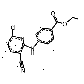 CCOC(=O)c1ccc(Nc2nc(Cl)ncc2C#N)cc1